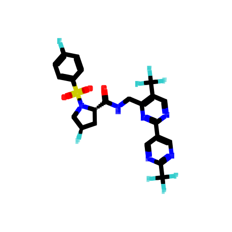 O=C(NCc1nc(-c2cnc(C(F)(F)F)nc2)ncc1C(F)(F)F)[C@@H]1C[C@@H](F)CN1S(=O)(=O)c1ccc(F)cc1